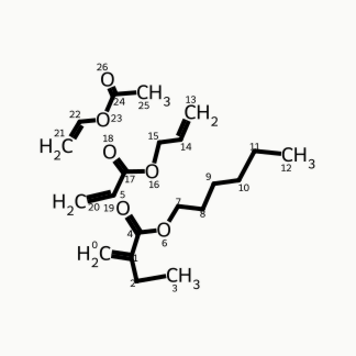 C=C(CC)C(=O)OCCCCCC.C=CCOC(=O)C=C.C=COC(C)=O